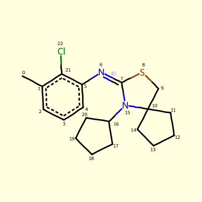 Cc1cccc(/N=C2/SCC3(CCCC3)N2C2CCCC2)c1Cl